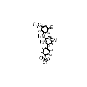 CCS(=O)(=O)c1ccc(C(CC#N)NC(=O)Nc2cc(F)cc(C(F)(F)F)c2)cc1